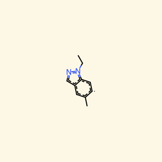 CCn1ncc2cc(C)[c]cc21